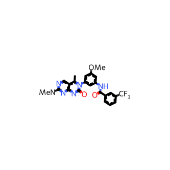 CNc1ncc2c(C)n(-c3cc(NC(=O)c4cccc(C(F)(F)F)c4)cc(OC)c3)c(=O)nc2n1